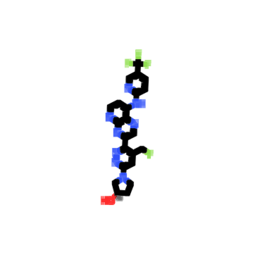 O[C@H]1CCN(c2cc(CF)c(-c3cnc4c(Nc5ccc(C(F)(F)F)cn5)ccnc4n3)nn2)C1